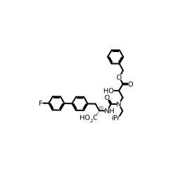 CC(C)CN(CC(O)C(=O)OCc1ccccc1)C(=O)N[C@@H](Cc1ccc(-c2ccc(F)cc2)cc1)C(=O)O